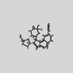 CC1(C)C[C@H](n2c([C@@H]3CC[C@@H](F)C3)nc3cnc4ccc(C#N)cc4c32)CCO1